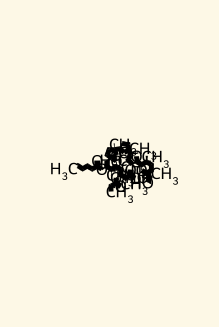 CCCCCC(=O)O[C@H]1C[C@]2(CC[C@@](C)([C@H]3CC[C@@](C)(C4O[C@@H]([C@H]5O[C@@](O)(CO)[C@H](C)C[C@@H]5C)C[C@@H]4C)O3)O2)O[C@H]([C@@H](C)[C@@H](OC(=O)CC)[C@@H](C)C(=O)O)[C@@H]1C